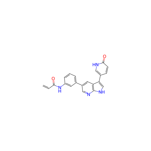 C=CC(=O)Nc1cccc(-c2cnc3[nH]cc(-c4ccc(=O)[nH]c4)c3c2)c1